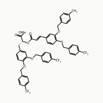 COC(=O)[C@@H](Cc1ccc(OCc2ccc(C(F)(F)F)cc2)c(OCc2ccc(C(F)(F)F)cc2)c1)OC(=O)/C=C/c1ccc(OCc2ccc(C(F)(F)F)cc2)c(OCc2ccc(C)cc2)c1